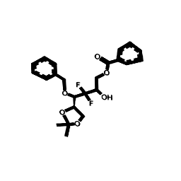 CC1(C)OC[C@H](C(OCc2ccccc2)C(F)(F)C(O)COC(=O)c2ccccc2)O1